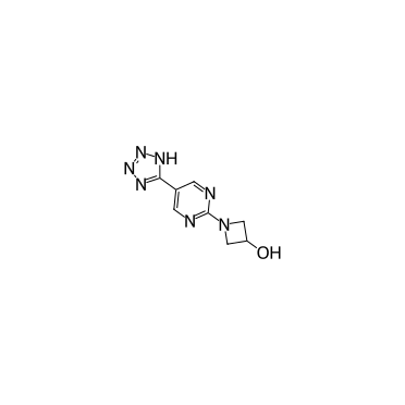 OC1CN(c2ncc(-c3nnn[nH]3)cn2)C1